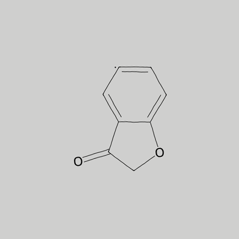 O=C1COc2cc[c]cc21